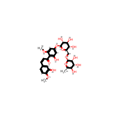 COc1ccc(/C=C\C(=O)c2c(O)cc(O[C@@H]3O[C@H](CO[C@@H]4O[C@@H](C)[C@H](O)[C@@H](O)[C@H]4O)[C@@H](O)[C@H](O)[C@H]3O)cc2OC)cc1O